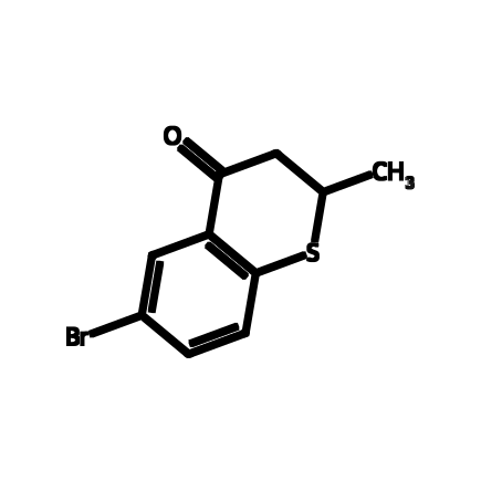 CC1CC(=O)c2cc(Br)ccc2S1